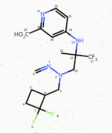 C=NN(CC1CCC1(F)F)CC(C)(Nc1ccnc(C(=O)O)c1)C(F)(F)F